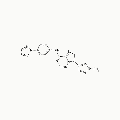 Cn1cc(C2CN=C3C(Nc4ccc(-n5cccn5)cc4)=NC=CN32)cn1